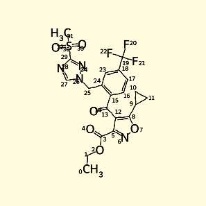 CCOC(=O)c1noc(C2CC2)c1C(=O)c1ccc(C(F)(F)F)cc1Cn1cnc(S(C)(=O)=O)n1